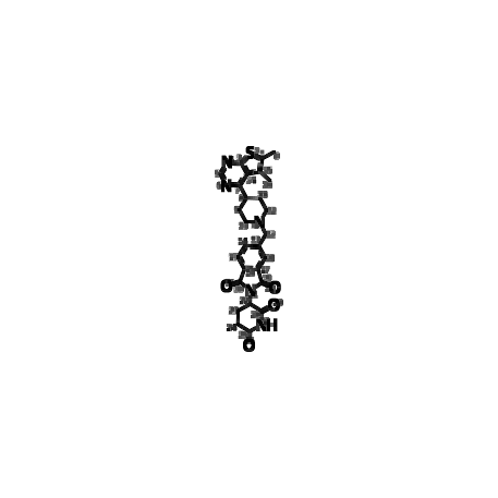 Cc1sc2ncnc(C3CCN(Cc4ccc5c(c4)C(=O)N(C4CCC(=O)NC4=O)C5=O)CC3)c2c1C